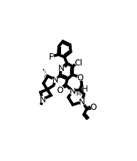 C=CC(=O)N1CCN2C(=O)c3c(N4CC5(C[C@@H]4C)CN(C)C5)nc(-c4ccccc4F)c(Cl)c3OC[C@H]2C1